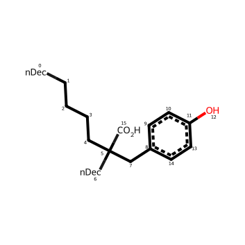 CCCCCCCCCCCCCCC(CCCCCCCCCC)(Cc1ccc(O)cc1)C(=O)O